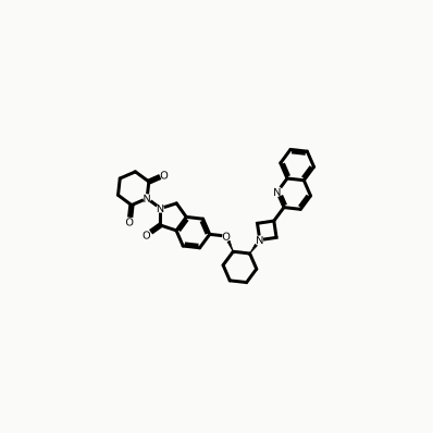 O=C1c2ccc(O[C@@H]3CCCC[C@@H]3N3CC(c4ccc5ccccc5n4)C3)cc2CN1N1C(=O)CCCC1=O